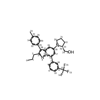 CCCc1nn2c(-c3cccc(C(F)(F)F)c3)cc(N3CCC[C@H]3CO)cc2c1-c1ccc(C)cc1